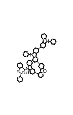 c1ccc(C2=Nc3ccccc3C(n3c4ccccc4c4cc(-c5cccc6oc7ccc(-c8ccc9c(c8)c8cc(-c%10ccc%11c(c%10)c%10ccccc%10n%11-c%10ccccc%10)ccc8n9-c8ccccc8)cc7c56)ccc43)N2)cc1